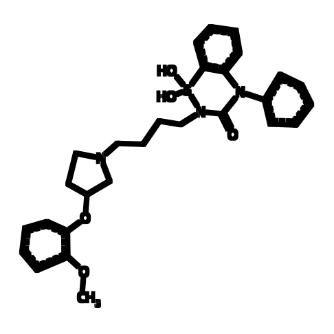 COc1ccccc1OC1CCN(CCCCN2C(=O)N(c3ccccc3)c3ccccc3S2(O)O)C1